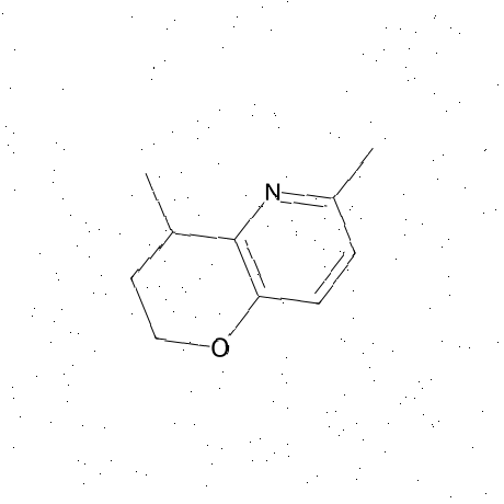 Cc1ccc2c(n1)C(C)CCO2